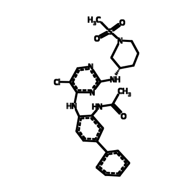 CC(=O)Nc1cc(-c2ccccc2)ccc1Nc1nc(N[C@H]2CCCN(S(C)(=O)=O)C2)ncc1Cl